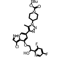 Cc1c(-c2cc(OCC(O)c3ncc(F)cc3F)c3c(Cl)cnn3c2)nnn1C1CCN(C(=O)OC(C)(C)C)CC1